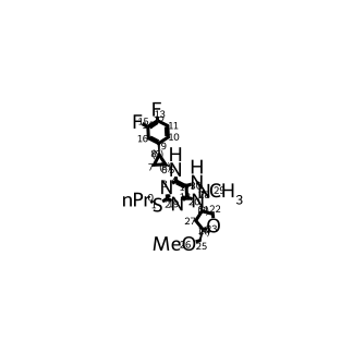 CCCSc1nc(N[C@@H]2C[C@H]2c2ccc(F)c(F)c2)c2c(n1)N([C@H]1CO[C@@H](COC)C1)N(C)N2